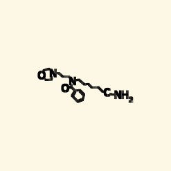 NCCCCCCCCN(CCCN1CCOCC1)C(=O)c1ccccc1